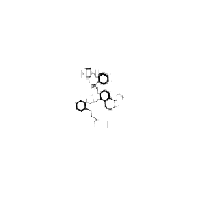 CCCCc1ccccc1OCc1c(O[C@@H](Cc2ncc[nH]2)c2ccccc2)ccc2c1CCCC2=O